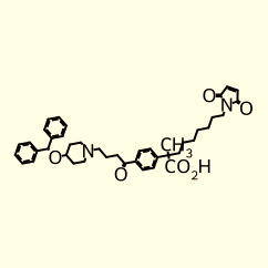 CC(CCCCCCCN1C(=O)C=CC1=O)(C(=O)O)c1ccc(C(=O)CCCN2CCC(OC(c3ccccc3)c3ccccc3)CC2)cc1